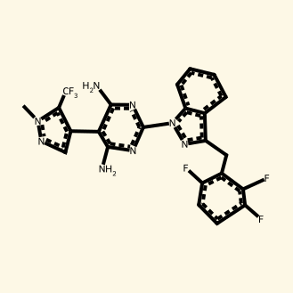 Cn1ncc(-c2c(N)nc(-n3nc(Cc4c(F)ccc(F)c4F)c4ccccc43)nc2N)c1C(F)(F)F